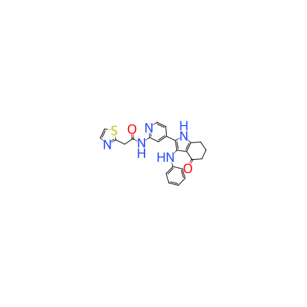 O=C(Cc1nccs1)Nc1cc(-c2[nH]c3c(c2Nc2ccccc2)C(=O)CCC3)ccn1